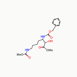 COC(=O)NCCCCC(NC(=O)OCc1ccccc1)C(O)C(=O)OC